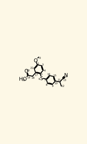 COc1ccc(Sc2ccc(C(C)C#N)cc2)c(CC(=O)O)c1